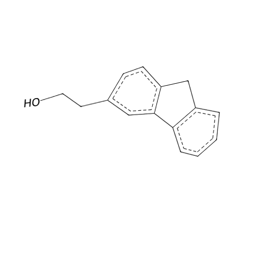 OCCc1ccc2c(c1)-c1ccccc1C2